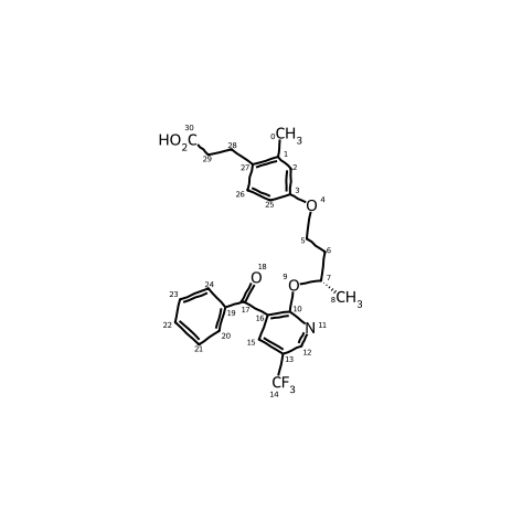 Cc1cc(OCC[C@H](C)Oc2ncc(C(F)(F)F)cc2C(=O)c2ccccc2)ccc1CCC(=O)O